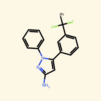 CC(C)C(F)(F)c1cccc(-c2cc(N)nn2-c2ccccc2)c1